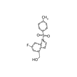 Cc1ccc(S(=O)(=O)n2ccc3c(CO)cc(F)cc32)cc1